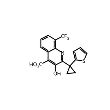 O=C(O)c1c(O)c(C2(c3cccs3)CC2)nc2c(C(F)(F)F)cccc12